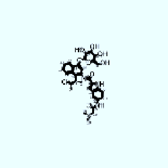 C[C@@H](Cl)[C@@H]1CN(C(=O)c2cc3cc(NC(=O)CN(C)C)ccc3[nH]2)c2cc(O[C@@H]3OC(CO)[C@H](O)[C@H](O)C3O)c3ccccc3c21